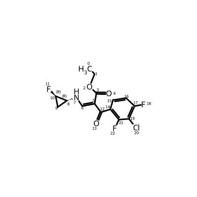 CCOC(=O)C(=CN[C@@H]1C[C@H]1F)C(=O)c1ccc(F)c(Cl)c1F